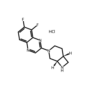 Cl.Fc1ccc2ncc(N3CC[C@@H]4CN[C@@H]4C3)nc2c1F